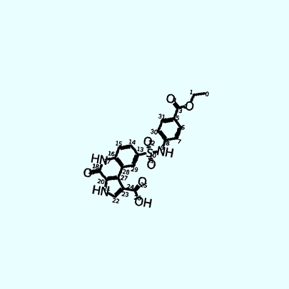 CCOC(=O)c1ccc(NS(=O)(=O)c2ccc3[nH]c(=O)c4[nH]cc(C(=O)O)c4c3c2)cc1